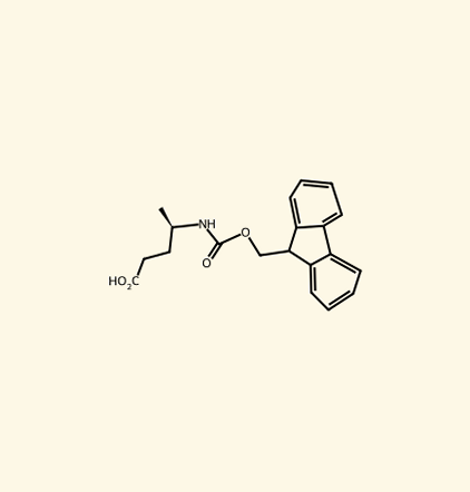 C[C@H](CCC(=O)O)NC(=O)OCC1c2ccccc2-c2ccccc21